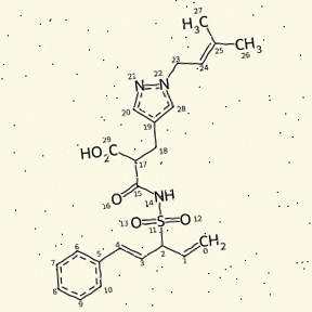 C=CC(C=Cc1ccccc1)S(=O)(=O)NC(=O)C(Cc1cnn(CC=C(C)C)c1)C(=O)O